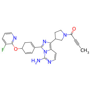 CC#CC(=O)N1CCC(c2nc(C3=CCC(Oc4ncccc4F)C=C3)n3c(N)nccc23)C1